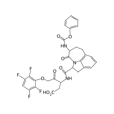 O=C(O)CC(NC(=O)C1Cc2cccc3c2N1C(=O)C(NC(=O)Oc1ccccc1)CC3)C(=O)COc1c(F)c(F)cc(F)c1F